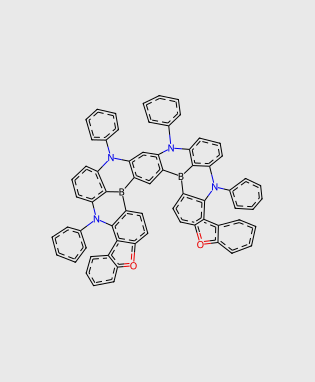 c1ccc(N2c3cc4c(cc3B3c5ccc6oc7ccccc7c6c5N(c5ccccc5)c5cccc2c53)B2c3ccc5oc6ccccc6c5c3N(c3ccccc3)c3cccc(c32)N4c2ccccc2)cc1